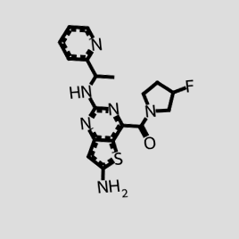 CC(Nc1nc(C(=O)N2CCC(F)C2)c2sc(N)cc2n1)c1ccccn1